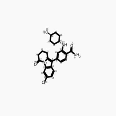 NC(=O)c1ccc(-c2c3n(c4cc(Cl)ccc24)C(=O)CCC3)cc1N[C@H]1CC[C@H](O)CC1